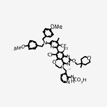 COc1ccc(CN(Cc2ccc(OC)cc2)c2cc(C)c(C(F)(F)F)c(-c3c(Cl)c4c5c(nc(OCC6(C)CCOCC6)nc5c3F)N([C@H](C)c3cccnc3NC(=O)O)CCO4)n2)cc1